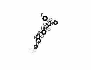 CN1CC(N2CCc3c(ncnc3Oc3ccc(NC(=O)c4cn(C5CCCC5)c(=O)n(-c5ccc(F)cc5)c4=O)cc3F)C2)C1